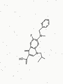 C=C(O)C1=CN(CC(C)C)c2cc(N(C)Cc3ccccc3)c(F)cc2C1=C